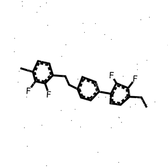 CCc1ccc(-c2ccc(CCc3ccc(C)c(F)c3F)cc2)c(F)c1F